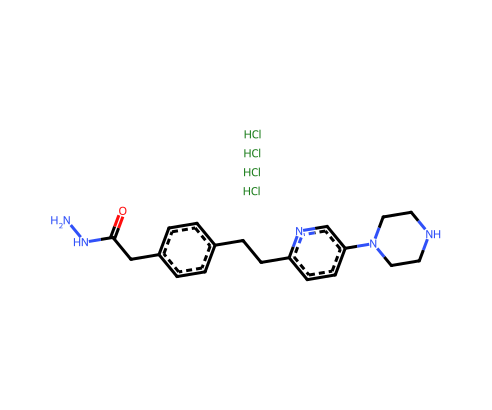 Cl.Cl.Cl.Cl.NNC(=O)Cc1ccc(CCc2ccc(N3CCNCC3)cn2)cc1